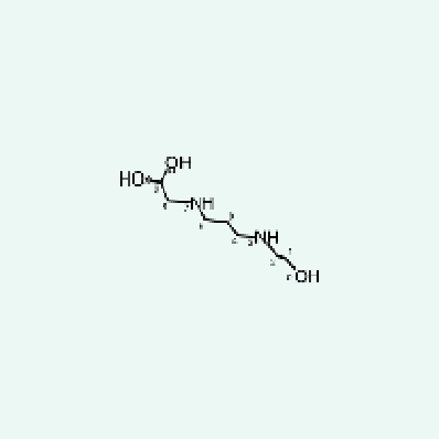 OCCNCCCNCC(O)O